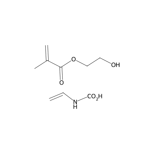 C=C(C)C(=O)OCCO.C=CNC(=O)O